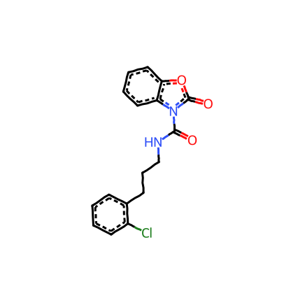 O=C(NCCCc1ccccc1Cl)n1c(=O)oc2ccccc21